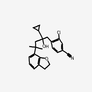 CC(C)(CC(O)(Cc1ccc(C#N)cc1Cl)C1CC1)c1cccc2c1OCC2